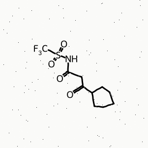 O=C(CC(=O)C1CCCCC1)NS(=O)(=O)C(F)(F)F